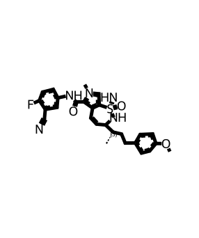 COc1ccc(CC[C@H](C)C2C=Cc3c(cn(C)c3C(=O)Nc3ccc(F)c(C#N)c3)S(=N)(=O)N2)cc1